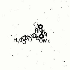 COc1cc2ncnc(Nc3cccc(Cl)c3F)c2cc1OC1CCCN(C(=O)CN2CCN(C)C(=O)C2)C1